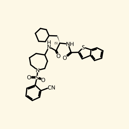 N#Cc1ccccc1S(=O)(=O)N1CCCC(NC(=O)[C@H](CC2CCCCC2)NC(=O)c2cc3ccccc3s2)CC1